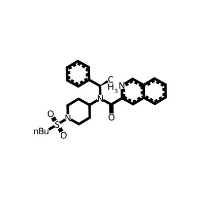 CCCCS(=O)(=O)N1CCC(N(C(=O)c2cc3ccccc3cn2)[C@H](C)c2ccccc2)CC1